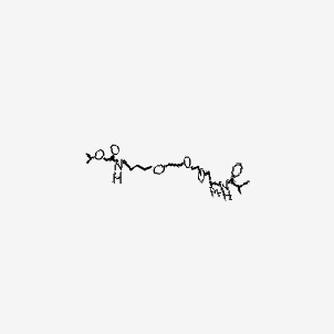 CC(C)OCC(=O)NCCCCCOCCOCCOCC(P)CNC(=O)C(C)C